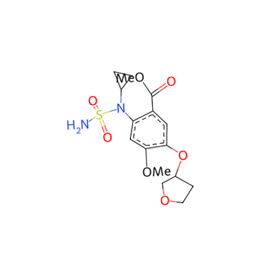 COC(=O)c1cc(OC2CCOC2)c(OC)cc1N(C1CC1)S(N)(=O)=O